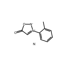 Cc1ccccc1-[n+]1cc(=O)o[n-]1.[N]